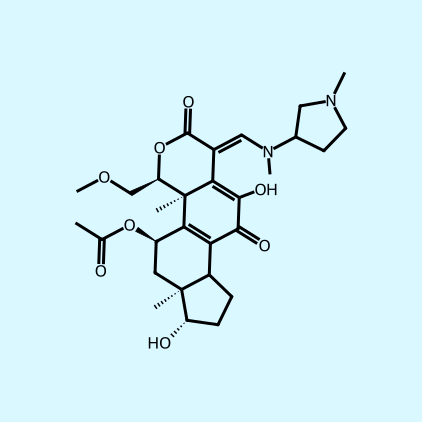 COC[C@H]1OC(=O)/C(=C/N(C)C2CCN(C)C2)C2=C(O)C(=O)C3=C([C@H](OC(C)=O)C[C@@]4(C)C3CC[C@@H]4O)[C@]21C